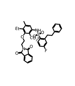 CCc1c(C)cc(NS(=O)(=O)c2ccc(F)cc2CCc2ccccc2)c(C(=O)O)c1OCCN1C(=O)c2ccccc2C1=O